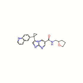 O=C(NCC1CCCO1)c1cnc2ncc(C3(c4ccc5ncccc5c4)CC3)n2c1